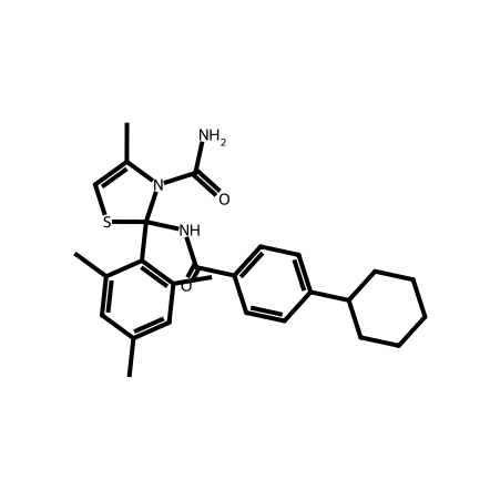 CC1=CSC(NC(=O)c2ccc(C3CCCCC3)cc2)(c2c(C)cc(C)cc2C)N1C(N)=O